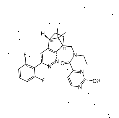 CCN(C[C@@]12CC[C@@H](c3cc(-c4c(F)cccc4F)nnc31)C2(C)C)C(=O)c1ccnc(O)n1